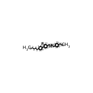 CCCCCCc1ccc(-c2ccc(C=NN=Cc3ccc(CCC)cc3)cc2F)cc1